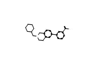 NC(=O)c1cccc(-c2ccc3c(c2)CCN(CC2CCCCC2)C3)c1